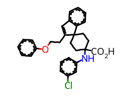 O=C(O)C1(Nc2cccc(Cl)c2)CCC2(CC1)C(CCOc1ccccc1)=Cc1ccccc12